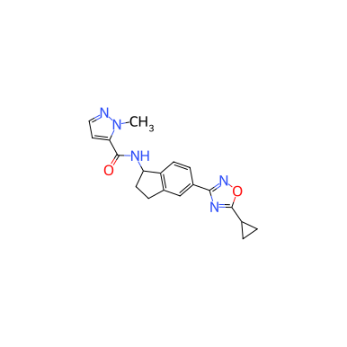 Cn1nccc1C(=O)NC1CCc2cc(-c3noc(C4CC4)n3)ccc21